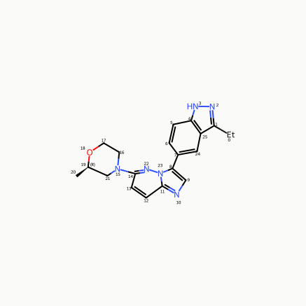 CCc1n[nH]c2ccc(-c3cnc4ccc(N5CCO[C@H](C)C5)nn34)cc12